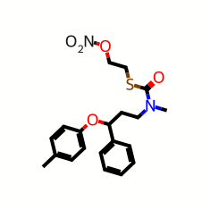 Cc1ccc(OC(CCN(C)C(=O)SCCO[N+](=O)[O-])c2ccccc2)cc1